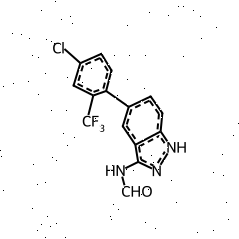 O=CNc1n[nH]c2ccc(-c3ccc(Cl)cc3C(F)(F)F)cc12